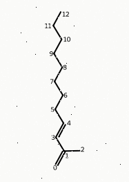 C=C(C)C=CCCCCCCCC